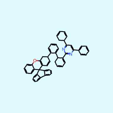 C1=CCC(c2cc(-c3ccccc3)nc(C3=CC=CCC3c3ccccc3C3C=CC4=C(C3)Oc3ccccc3C43c4ccccc4-c4ccccc43)n2)C=C1